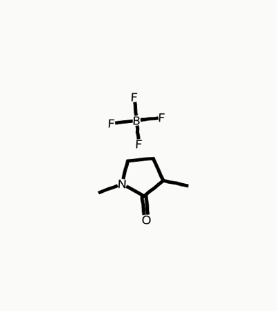 CC1CCN(C)C1=O.F[B-](F)(F)F